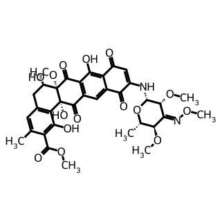 CO/N=C1/[C@@H](OC)[C@H](C)O[C@H](NC2=CC(=O)c3c(cc4c(c3O)C(=O)[C@]3(OC)[C@H](O)Cc5cc(C)c(C(=O)OC)c(O)c5[C@]3(O)C4=O)C2=O)[C@@H]1OC